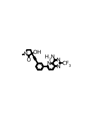 CN1CCC(O)(C#Cc2cccc(-c3ccc4nc(C(F)(F)F)nc(N)c4n3)c2)C1=O